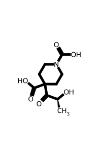 C[C@H](O)C(=O)C1(C(=O)O)CCN(C(=O)O)CC1